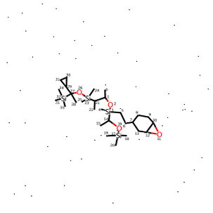 CC(O[Si](C)(CCC1CCC2OC2C1)C(C)O[Si](C)(C)C)C(C)[Si](C)(C)OC(C)(C1CC1)[Si](C)(C)C